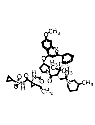 C=CC1CC1(NC(=O)[C@@H]1C[C@@H](Oc2cc(-c3ccccc3)nc3cc(OC)ccc23)CN1C(=O)[C@@H](CC(=O)N1CCCC(C)C1)C(C)(C)C)C(=O)NS(=O)(=O)C1CC1